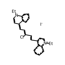 CCN1C=C/C(=C/C=C(Cl)/C=C/c2cc[n+](CC)c3ccccc23)c2ccccc21.[I-]